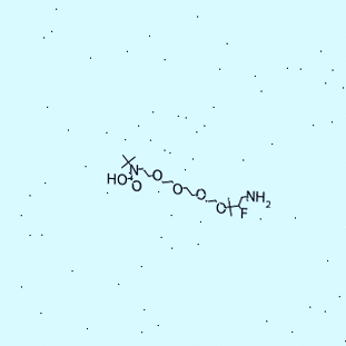 CC(C)(OCCOCCOCCOCCN(C(=O)O)C(C)(C)C)C(F)CN